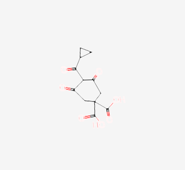 O=C1CC(C(=O)O)(C(=O)O)CC(=O)C1C(=O)C1CC1